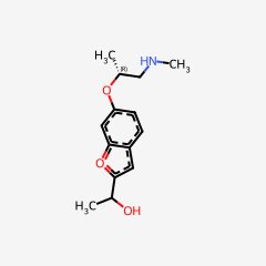 CNC[C@@H](C)Oc1ccc2cc(C(C)O)oc2c1